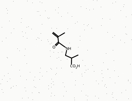 C=C(C)C(=O)NCC(C)C(=O)O